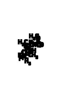 COC[C@@H]1COCCN1c1cnc2c(C)nnc(N[C@H](C)c3cccc(C(F)(F)F)c3C)c2c1